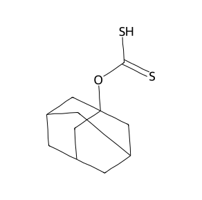 S=C(S)OC12CC3CC(CC(C3)C1)C2